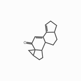 O=C1C=C2C3=CCCC3CCC2C2CCC3CC132